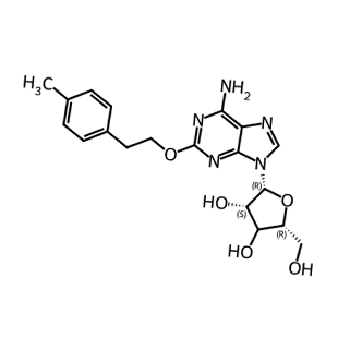 Cc1ccc(CCOc2nc(N)c3ncn([C@@H]4O[C@H](CO)C(O)[C@@H]4O)c3n2)cc1